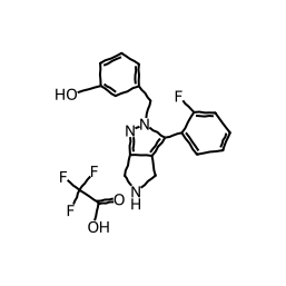 O=C(O)C(F)(F)F.Oc1cccc(Cn2nc3c(c2-c2ccccc2F)CNC3)c1